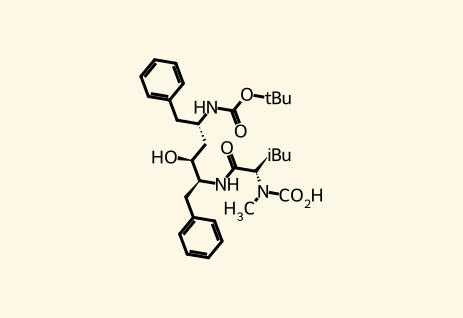 CC[C@H](C)[C@@H](C(=O)N[C@@H](Cc1ccccc1)[C@@H](O)C[C@H](Cc1ccccc1)NC(=O)OC(C)(C)C)N(C)C(=O)O